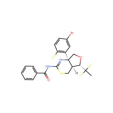 CC(F)(F)[C@H]1OC[C@]2(c3cc(Br)ccc3F)N=C(NC(=O)c3ccccc3)SC[C@H]12